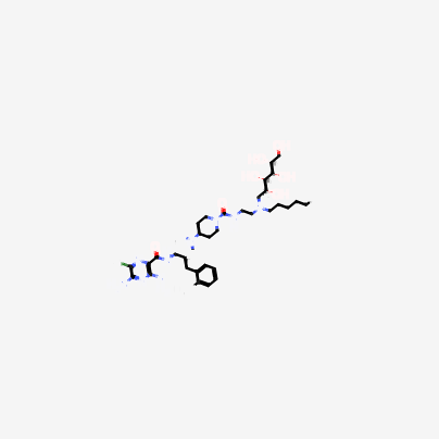 CCCCCCN(CCNC(=O)N1CCC(N(C)C[C@@H](CNC(=O)c2nc(Cl)c(N)nc2N)Cc2ccccc2C)CC1)C[C@H](O)[C@@H](O)[C@H](O)[C@H](O)CO